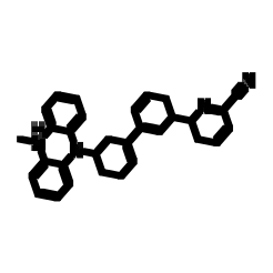 C[SiH]1c2ccccc2N(C2CCC=C(C3=CC(C4CC=CC(C#N)=N4)CC=C3)C2)c2ccccc21